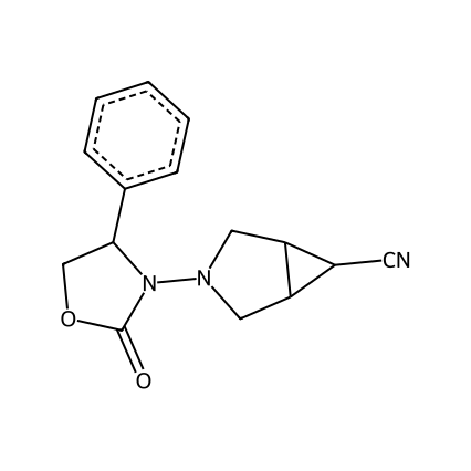 N#CC1C2CN(N3C(=O)OCC3c3ccccc3)CC12